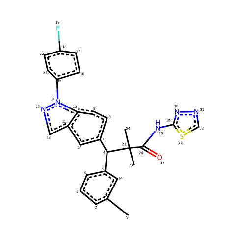 Cc1cccc(C(c2ccc3c(cnn3-c3ccc(F)cc3)c2)C(C)(C)C(=O)Nc2nncs2)c1